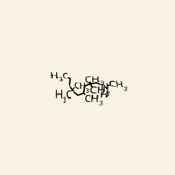 CCCC(C)(C)CC(C)CC(C)(C)CNC